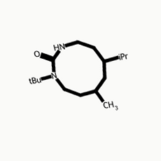 CC1CCN(C(C)(C)C)C(=O)NCCC(C(C)C)C1